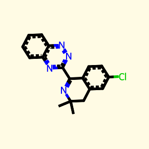 CC1(C)Cc2cc(Cl)ccc2C(c2nnc3ccccc3n2)=N1